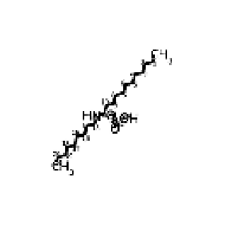 CCCCCCCCCCCCNCCCCCCCCC.O=[N+]([O-])O